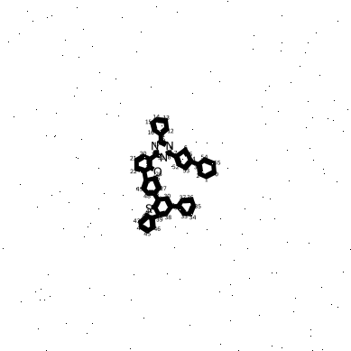 c1ccc(-c2ccc(-c3nc(-c4ccccc4)nc(-c4cccc5c4oc4cc(-c6cc(-c7ccccc7)cc7c6sc6ccccc67)ccc45)n3)cc2)cc1